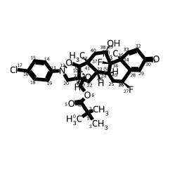 CC(C)(C)C(=O)OCC(=O)[C@@]12ON(c3ccc(Cl)cc3)C[C@@H]1C[C@H]1[C@@H]3C[C@H](F)C4=CC(=O)C=C[C@]4(C)[C@@]3(F)[C@@H](O)C[C@@]12C